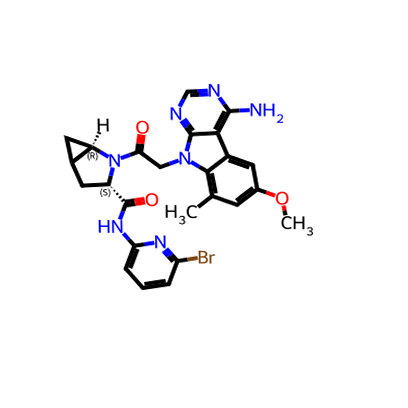 COc1cc(C)c2c(c1)c1c(N)ncnc1n2CC(=O)N1[C@@H]2CC2C[C@H]1C(=O)Nc1cccc(Br)n1